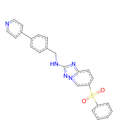 O=S(=O)(c1ccccc1)c1ccc2nc(NCc3ccc(-c4ccncc4)cc3)nn2c1